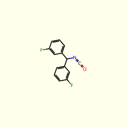 O=C=NC(c1cccc(F)c1)c1cccc(F)c1